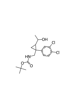 CC(O)C1CC1(CNC(=O)OC(C)(C)C)c1ccc(Cl)c(Cl)c1